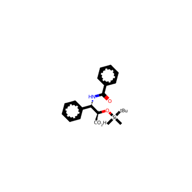 CC(C)(C)[Si](C)(C)O[C@@H](C(=O)O)[C@@H](NC(=O)c1ccccc1)c1ccccc1